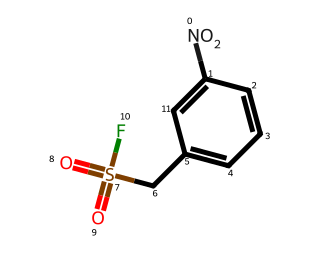 O=[N+]([O-])c1cccc(CS(=O)(=O)F)c1